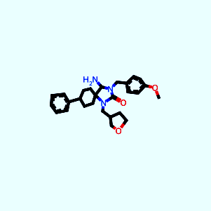 COc1ccc(CN2C(=O)N(CC3CCOC3)C3(CCC(c4ccccc4)CC3)C2N)cc1